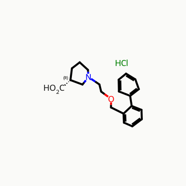 Cl.O=C(O)[C@@H]1CCCN(CCOCc2ccccc2-c2ccccc2)C1